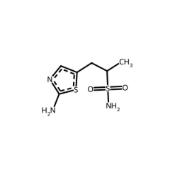 CC(Cc1cnc(N)s1)S(N)(=O)=O